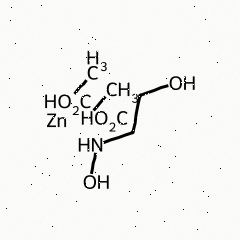 CC(=O)O.CC(=O)O.OCCNO.[Zn]